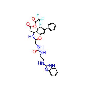 O=C(CNC(=O)NCCNc1nc2ccccc2[nH]1)NC(CC(=O)OC(=O)C(F)(F)F)c1ccc(-c2ccccc2)cc1